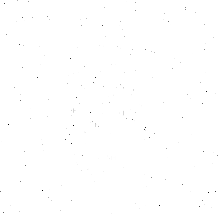 O=C(O)c1cn([C@@H]2C[C@@H]2F)c2c(Cl)c(N3CC4CCCNC4C3)c(F)cc2c1=O